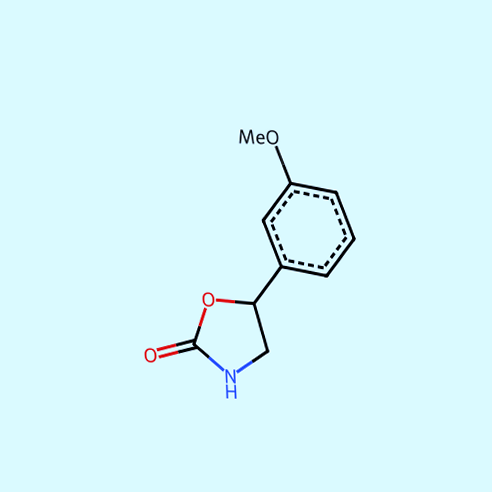 COc1cccc(C2CNC(=O)O2)c1